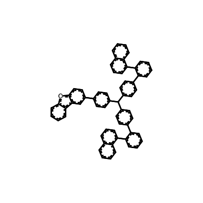 c1ccc(-c2cccc3ccccc23)c(-c2ccc(C(c3ccc(-c4ccc5oc6ccccc6c5c4)cc3)c3ccc(-c4ccccc4-c4cccc5ccccc45)cc3)cc2)c1